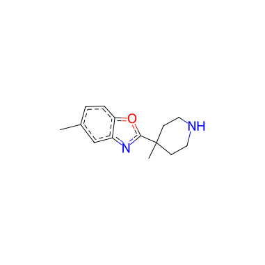 Cc1ccc2oc(C3(C)CCNCC3)nc2c1